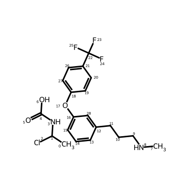 CC(Cl)NC(=O)O.CNCCCc1cccc(Oc2ccc(C(F)(F)F)cc2)c1